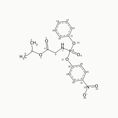 CC(C)OC(=O)CNP(=O)(Oc1ccccc1)Oc1ccc([N+](=O)[O-])cc1